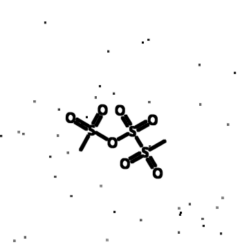 CS(=O)(=O)OS(=O)(=O)S(C)(=O)=O